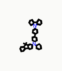 CC1(C)c2ccccc2-c2ccc(N(C3C=CC=CC3)C3C=CC(c4ccc(-n5c6ccccc6c6ccccc65)cc4)=CC3)cc21